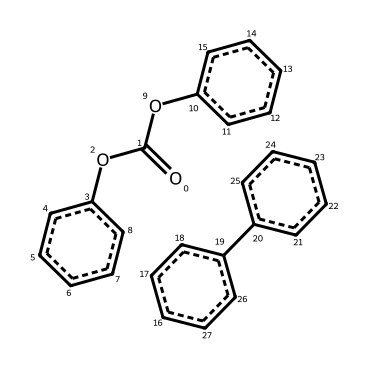 O=C(Oc1ccccc1)Oc1ccccc1.c1ccc(-c2ccccc2)cc1